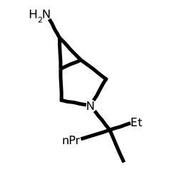 CCCC(C)(CC)N1CC2C(N)C2C1